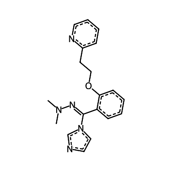 CN(C)/N=C(/c1ccccc1OCCc1ccccn1)n1ccnc1